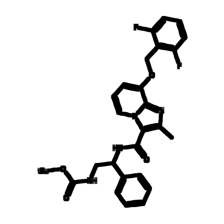 Cc1nc2c(OCc3c(F)cccc3F)cccn2c1C(=O)NC(CNC(=O)OC(C)(C)C)c1ccccc1